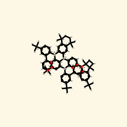 CC(C)(C)c1ccc(N2c3cc(N4c5ccc(C(C)(C)C)cc5C5(C)CCC45C)ccc3B3c4cc5c(cc4N(c4ccc(C(C)(C)C)cc4-c4ccccc4)c4cc(C(C)(C)C)cc2c43)C(C)(C)CCC5(C)C)c(-c2ccccc2)c1